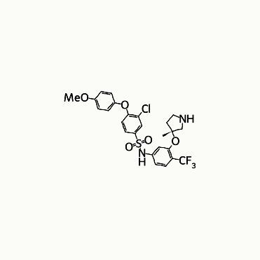 COc1ccc(Oc2ccc(S(=O)(=O)Nc3ccc(C(F)(F)F)c(O[C@]4(C)CCNC4)c3)cc2Cl)cc1